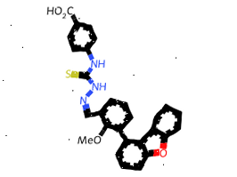 COc1c(/C=N\NC(=S)Nc2ccc(C(=O)O)cc2)cccc1-c1cccc2oc3ccccc3c12